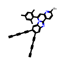 C#CC#CC#Cc1cc2nc3c4ccc(C(C)(C)C)nc4cc(-c4c(C)cc(C)cc4C)n3c2cc1C#CC#CC#C